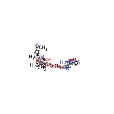 Cc1ncsc1-c1ccc([C@H](C)NC(=O)[C@@H]2C[C@@H](O)CN2C(=O)[C@H](c2cc(OCCOCCOCCOCCn3cc(-c4cc(-c5ccccc5O)nnc4N)cn3)no2)C(C)C)cc1